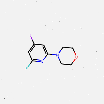 Fc1cc(I)cc(N2CCOCC2)n1